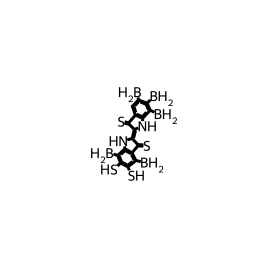 Bc1cc2c(c(B)c1B)N/C(=C1/Nc3c(B)c(S)c(S)c(B)c3C1=S)C2=S